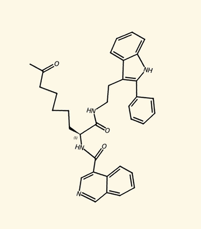 CC(=O)CCCCC[C@H](NC(=O)c1cncc2ccccc12)C(=O)NCCc1c(-c2ccccc2)[nH]c2ccccc12